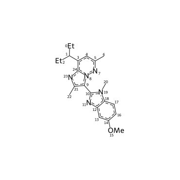 CCC(CC)c1cc(C)nn2c(-c3nc4cc(OC)ccc4n3C)c(C)nc12